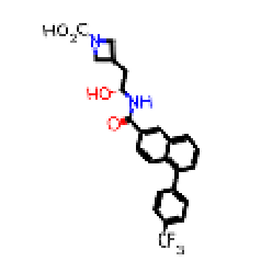 O=C(N[C@H](O)CC1CN(C(=O)O)C1)c1ccc2c(-c3ccc(C(F)(F)F)cc3)cccc2c1